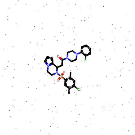 Cc1cc(S(=O)(=O)N2CCn3cccc3C2CC(=O)N2CCN(c3ccccc3F)CC2)c(C)cc1Cl